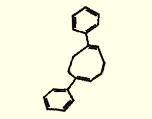 C1=C(c2ccccc2)CCC(c2ccccc2)=CCC1